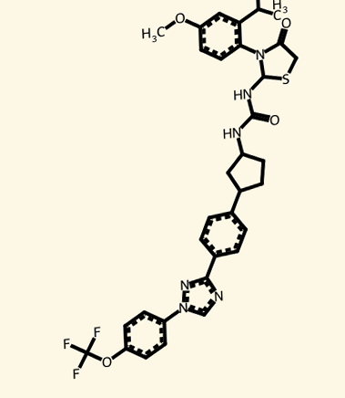 COc1ccc(N2C(=O)CSC2NC(=O)NC2CCC(c3ccc(-c4ncn(-c5ccc(OC(F)(F)F)cc5)n4)cc3)C2)c(C(C)C)c1